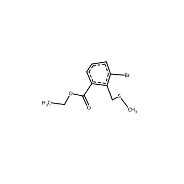 CCOC(=O)c1cccc(Br)c1CSC